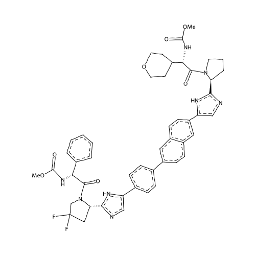 COC(=O)N[C@H](C(=O)N1CCC[C@H]1c1ncc(-c2ccc3cc(-c4ccc(-c5cnc([C@@H]6CC(F)(F)CN6C(=O)[C@H](NC(=O)OC)c6ccccc6)[nH]5)cc4)ccc3c2)[nH]1)C1CCOCC1